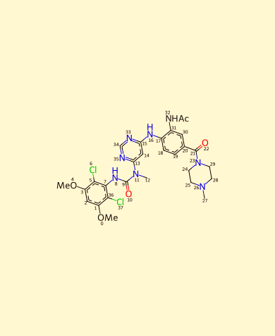 COc1cc(OC)c(Cl)c(NC(=O)N(C)c2cc(Nc3ccc(C(=O)N4CCN(C)CC4)cc3NC(C)=O)ncn2)c1Cl